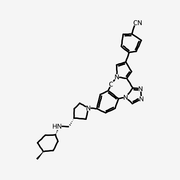 C[C@H]1CC[C@H](NC[C@@H]2CCN(c3ccc4c(c3)Cn3cc(-c5ccc(C#N)cc5)cc3-c3nncn3-4)C2)CC1